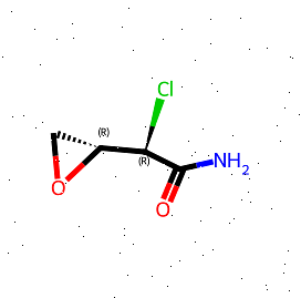 NC(=O)[C@H](Cl)[C@H]1CO1